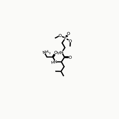 COP(=O)(CCNC(=O)C(CC(C)C)NC(=O)CN)OC